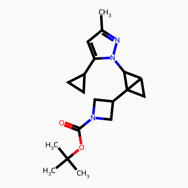 Cc1cc(C2CC2)n(C2C3CC32C2CN(C(=O)OC(C)(C)C)C2)n1